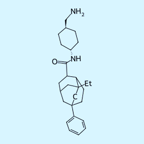 CCC12CC3CC(C(=O)N[C@H]4CC[C@H](CN)CC4)C1CCC(c1ccccc1)(C3)C2